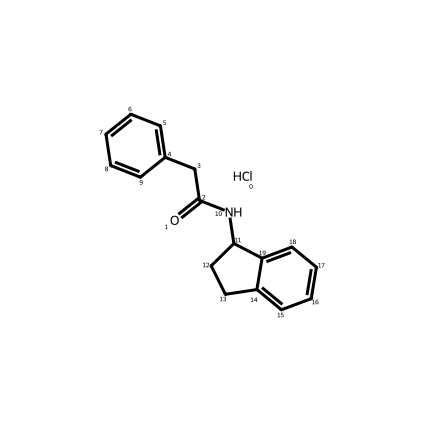 Cl.O=C(Cc1ccccc1)NC1CCc2ccccc21